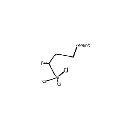 CCCCCCCC(F)[Si](Cl)(Cl)Cl